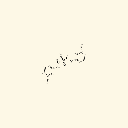 O=S(=O)(OCc1cccc(F)c1)OCc1cccc(F)c1